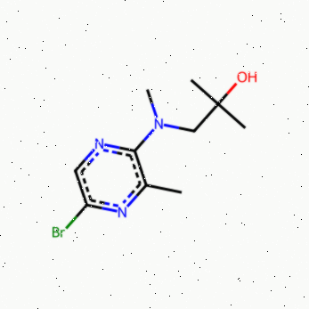 Cc1nc(Br)cnc1N(C)CC(C)(C)O